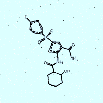 NC(=O)c1cc(S(=O)(=O)c2ccc(F)cc2)sc1NC(=O)C1CCCCC1O